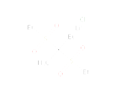 CCC(C)(S(=O)(=O)CC)S(=O)(=O)CC.[Cl-].[Li+]